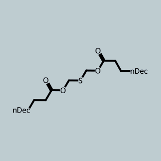 CCCCCCCCCCCCC(=O)OCSCOC(=O)CCCCCCCCCCCC